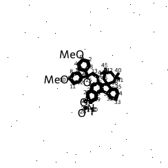 COc1ccc(C2(c3ccc(OC)cc3)C=Cc3c4c(c5cc6c(cc5c3O2)oc(=O)n6F)-c2ccccc2C42CC(C)(C)CC(C)(C)C2)cc1